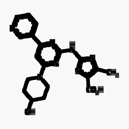 Cc1nc(Nc2nc(-c3cccnc3)cc(N3CCC(O)CC3)n2)sc1C(=O)O